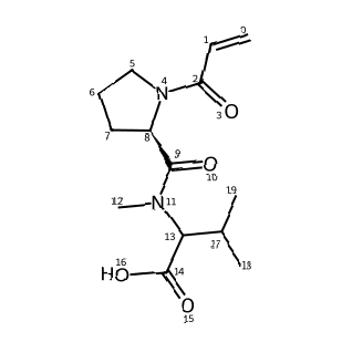 C=CC(=O)N1CCC[C@@H]1C(=O)N(C)C(C(=O)O)C(C)C